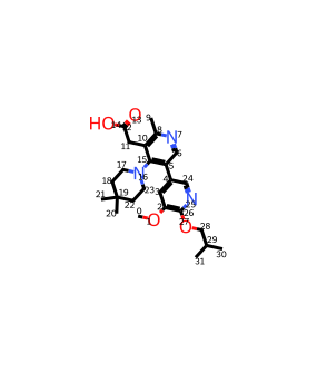 COc1cc(-c2cnc(C)c(CC(=O)O)c2N2CCC(C)(C)CC2)cnc1OCC(C)C